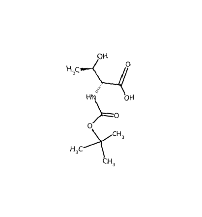 C[C@@H](O)[C@@H](NC(=O)OC(C)(C)C)C(=O)O